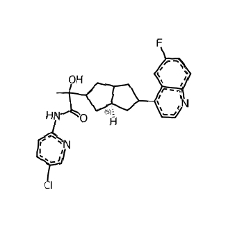 CC(O)(C(=O)Nc1ccc(Cl)cn1)C1CC2CC(c3ccnc4ccc(F)cc34)C[C@H]2C1